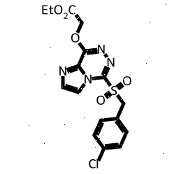 CCOC(=O)COc1nnc(S(=O)(=O)Cc2ccc(Cl)cc2)n2ccnc12